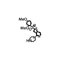 COc1ccc(S(=O)(=O)c2cc3c(N4CCNCC4)nccc3s2)c(OC)c1